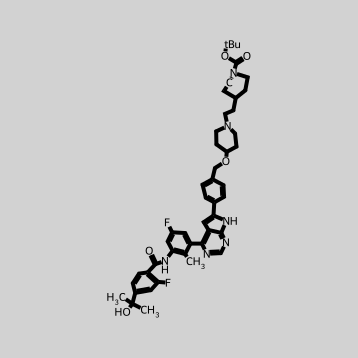 Cc1c(NC(=O)c2ccc(C(C)(C)O)cc2F)cc(F)cc1-c1ncnc2[nH]c(-c3ccc(COC4CCN(CCC5CCN(C(=O)OC(C)(C)C)CC5)CC4)cc3)cc12